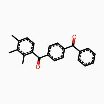 Cc1ccc(C(=O)c2ccc(C(=O)c3ccccc3)cc2)c(C)c1C